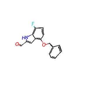 O=Cc1cc2c(OCc3ccccc3)ccc(F)c2[nH]1